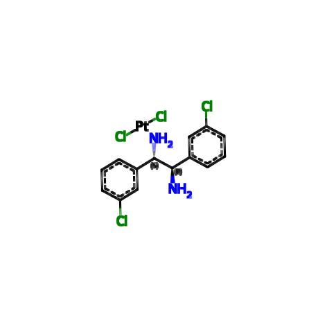 N[C@H](c1cccc(Cl)c1)[C@@H](N)c1cccc(Cl)c1.[Cl][Pt][Cl]